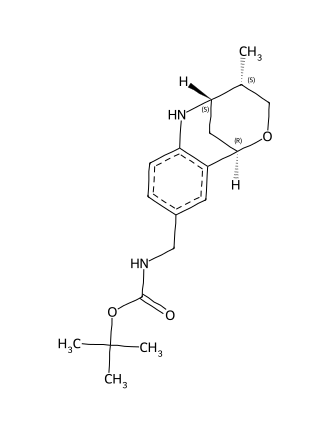 C[C@@H]1CO[C@@H]2C[C@@H]1Nc1ccc(CNC(=O)OC(C)(C)C)cc12